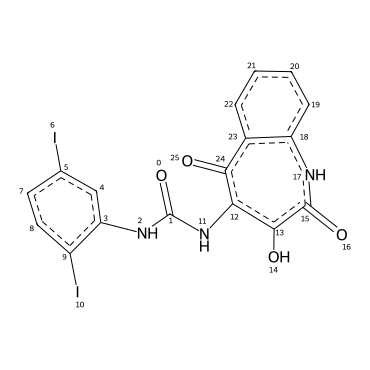 O=C(Nc1cc(I)ccc1I)Nc1c(O)c(=O)[nH]c2ccccc2c1=O